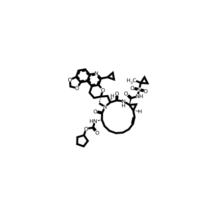 CC1(S(=O)(=O)NC(=O)[C@@]23C[C@H]2/C=C\CCCCC[C@H](NC(=O)OC2CCCC2)C(=O)N2C[C@@]4(CCc5c(c(C6CC6)nc6ccc7c(c56)OCO7)O4)C[C@H]2C(=O)N3)CC1